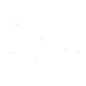 CCCCCCN1CCC(C)(c2ccc(C(N)=O)c(O)c2)C(C)C1